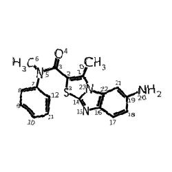 Cc1c(C(=O)N(C)c2ccccc2)sc2nc3ccc(N)cc3n12